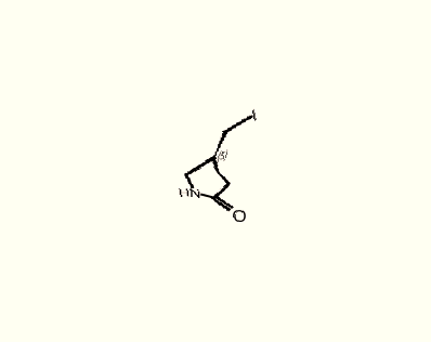 O=C1C[C@H](CI)CN1